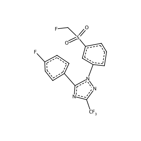 O=S(=O)(CF)c1cccc(-n2nc(C(F)(F)F)nc2-c2ccc(F)cc2)c1